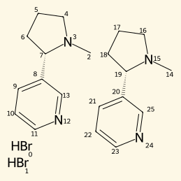 Br.Br.CN1CCC[C@H]1c1cccnc1.CN1CCC[C@H]1c1cccnc1